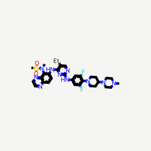 CCc1cnc(Nc2cc(F)c(N3CCC(N4CCN(C)CC4)CC3)c(F)c2)nc1Nc1ccc2nccnc2c1N(C)S(C)(=O)=O